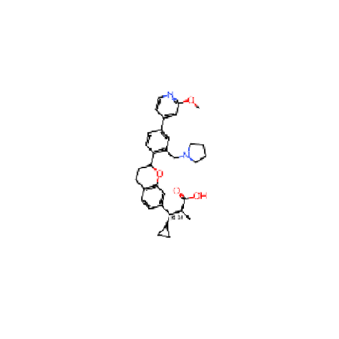 COc1cc(-c2ccc(C3CCc4ccc([C@H](C5CC5)[C@H](C)C(=O)O)cc4O3)c(CN3CCCC3)c2)ccn1